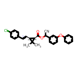 CC1(C)[C@H](C(=O)OC(C#N)c2cccc(Oc3ccccc3)c2)[C@@H]1/C=C/c1ccc(Cl)cc1